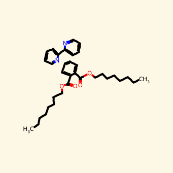 CCCCCCCCOC(=O)c1ccccc1C(=O)OCCCCCCCC.c1ccc(-c2ccccn2)nc1